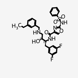 CCc1cccc(CNC[C@H](O)[C@H](Cc2cc(F)cc(F)c2)NC(=O)c2coc(NS(=O)(=O)c3ccccc3)n2)c1